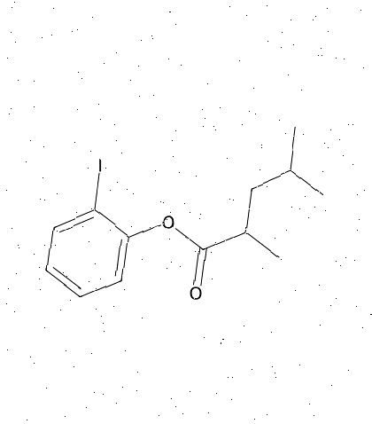 CC(C)CC(C)C(=O)Oc1ccccc1I